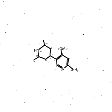 COc1cc(N)ncc1C1CC(C)NC(C)C1